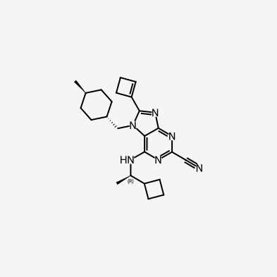 C[C@@H](Nc1nc(C#N)nc2nc(C3=CCC3)n(C[C@H]3CC[C@H](C)CC3)c12)C1CCC1